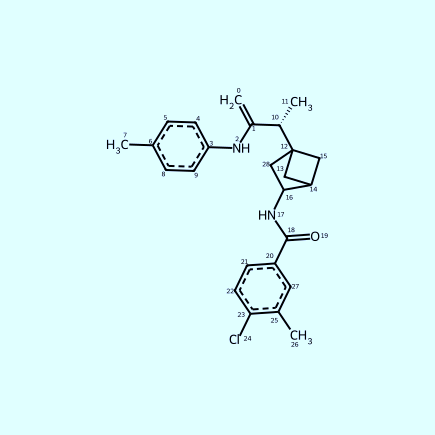 C=C(Nc1ccc(C)cc1)[C@H](C)C12CC(C1)C(NC(=O)c1ccc(Cl)c(C)c1)C2